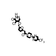 O=C(C[C@H]1CC[C@@H](COc2cn[nH]c(=O)c2Cl)O1)N1CCN(c2ncc(C(F)(F)F)cn2)CC1